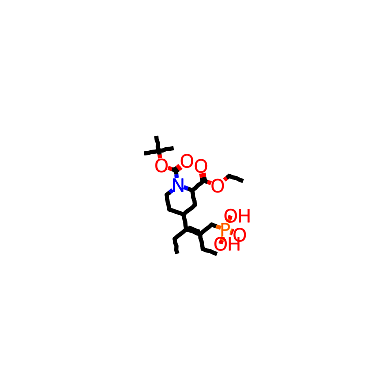 CCOC(=O)C1CC(C(CC)=C(CC)CP(=O)(O)O)CCN1C(=O)OC(C)(C)C